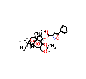 CC1=CC23C(=O)[C@@H](C=C4COC(C)(C)O[C@H]4[C@]2(O)[C@H]1OC(=O)c1cc(-c2ccccc2)on1)[C@H]1[C@@H](CC3C)C1(C)C